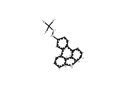 FC(F)(F)SOc1ccc2c(c1)c1cccc3oc4cccc2c4c31